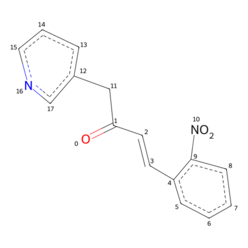 O=C(C=Cc1ccccc1[N+](=O)[O-])Cc1cccnc1